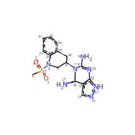 CS(=O)(=O)N1CC(N2C(N)=Nc3[nH]ncc3C2N)Cc2ccccc21